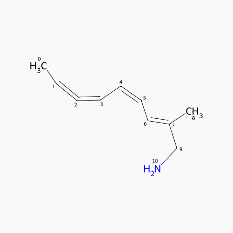 CC=C=C/C=C\C=C(/C)CN